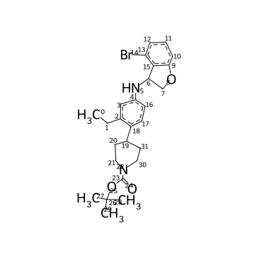 CCc1cc(NC2COc3cccc(Br)c32)ccc1C1CCN(C(=O)OC(C)(C)C)CC1